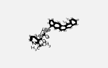 CN(C)c1ncccc1C(=O)NC(=O)NSc1cccc2cc3c(ccc4cc5ccccc5cc43)cc12